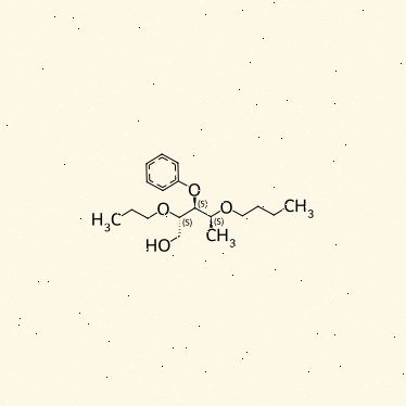 CCCCO[C@@H](C)[C@H](Oc1ccccc1)[C@H](CO)OCCC